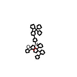 c1ccc(-c2ccccc2-c2ccccc2-c2ccccc2N(c2ccc(-c3ccc4c(c3)C(c3ccccc3)(c3ccccc3)c3ccccc3-4)cc2)c2ccc3c(c2)oc2ccccc23)cc1